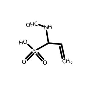 C=CC(NC=O)S(=O)(=O)O